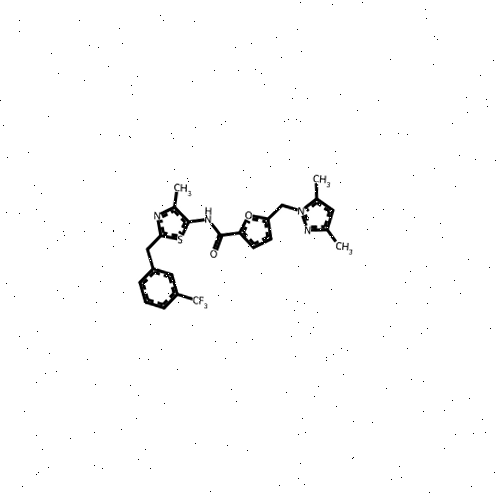 Cc1cc(C)n(Cc2ccc(C(=O)Nc3sc(Cc4cccc(C(F)(F)F)c4)nc3C)o2)n1